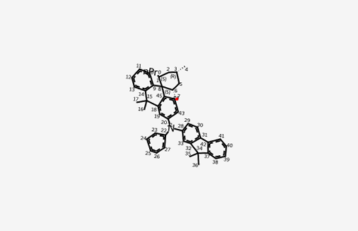 CCC[C@H]1C[C@H](C)C[C@H](C)C12c1ccccc1C(C)(C)c1cc(N(c3ccccc3)c3ccc4c(c3)C(C)(C)c3ccccc3-4)ccc12